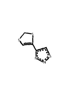 C1=C(c2csnn2)SCS1